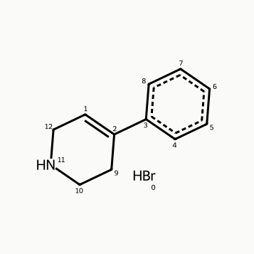 Br.C1=C(c2ccccc2)CCNC1